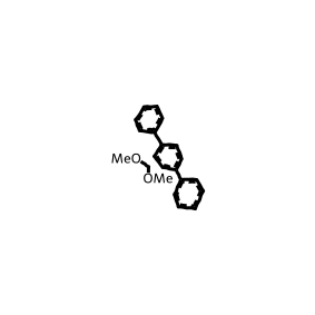 COCOC.c1ccc(-c2ccc(-c3ccccc3)cc2)cc1